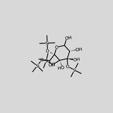 C[Si](C)(C)OC(O)[C@@]1(O[Si](C)(C)C)OC(O)[C@H](O)[C@](O)(O[Si](C)(C)C)[C@@]1(O)O[Si](C)(C)C